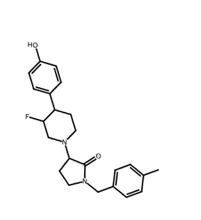 Cc1ccc(CN2CCC(N3CCC(c4ccc(O)cc4)C(F)C3)C2=O)cc1